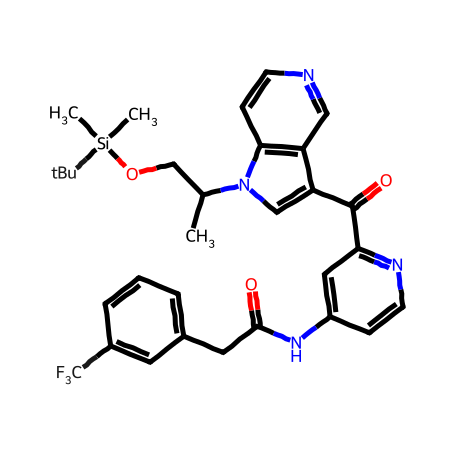 CC(CO[Si](C)(C)C(C)(C)C)n1cc(C(=O)c2cc(NC(=O)Cc3cccc(C(F)(F)F)c3)ccn2)c2cnccc21